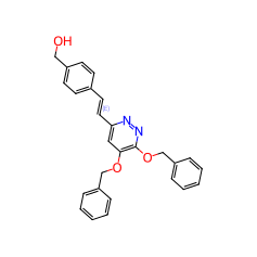 OCc1ccc(/C=C/c2cc(OCc3ccccc3)c(OCc3ccccc3)nn2)cc1